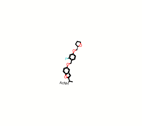 CC(=O)NC(C)c1cc2cc(OCc3ccc(OC[C@H]4CCCO4)cc3F)ccc2o1